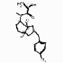 CCC[C@H](N)C(=O)N(C)[C@@H]1CC[C@H]2CN(Cc3ccc(C(F)(F)F)cc3)C[C@H]21